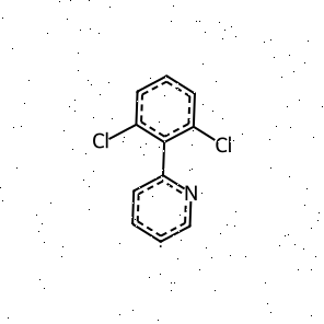 Clc1cccc(Cl)c1-c1cc[c]cn1